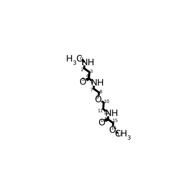 CNCCC(=O)NCCOCCNC(=O)COC